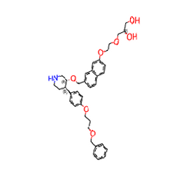 OC[C@@H](O)COCCOc1ccc2ccc(CO[C@H]3CNCC[C@@H]3c3ccc(OCCCOCc4ccccc4)cc3)cc2c1